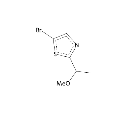 COC(C)c1ncc(Br)s1